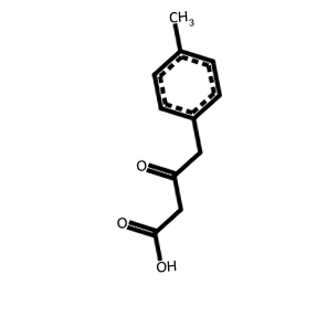 Cc1ccc(CC(=O)CC(=O)O)cc1